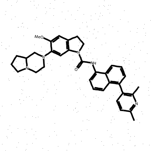 COc1cc2c(cc1N1CCN3CCCC3C1)N(C(=O)Nc1cccc3c(-c4ccc(C)nc4C)cccc13)CC2